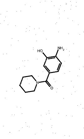 Nc1ccc(C(=O)N2CCCCC2)cc1O